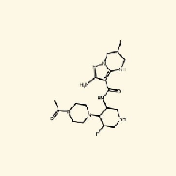 CC(=O)N1CCN(C2C(F)CNCC2NC(=O)c2c(N)nn3c2NCC(F)C3)CC1